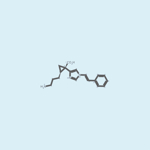 NCCC[C@H]1C[C@]1(C(=O)O)c1cn(C=Cc2ccccc2)cn1